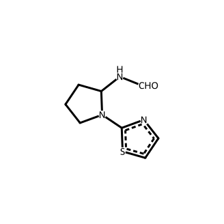 O=CNC1CCCN1c1nccs1